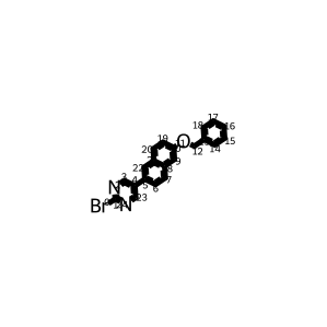 Brc1ncc(-c2ccc3cc(OCc4ccccc4)ccc3c2)cn1